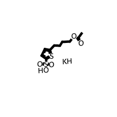 CC(=O)OCCCCc1ccc(S(=O)(=O)O)s1.[KH]